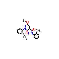 CCOCCC(C(=O)Nc1ccccc1C)C(=O)Nc1ccccc1C